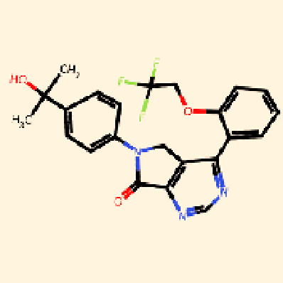 CC(C)(O)c1ccc(N2Cc3c(ncnc3-c3ccccc3OCC(F)(F)F)C2=O)cc1